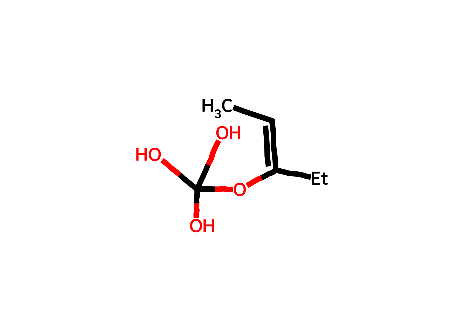 CC=C(CC)OC(O)(O)O